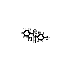 O=C(Nc1ccc(Br)cc1Cl)c1ccccc1Cl